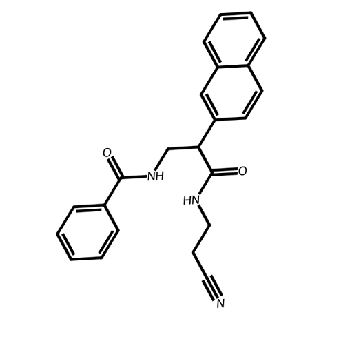 N#CCCNC(=O)C(CNC(=O)c1ccccc1)c1ccc2ccccc2c1